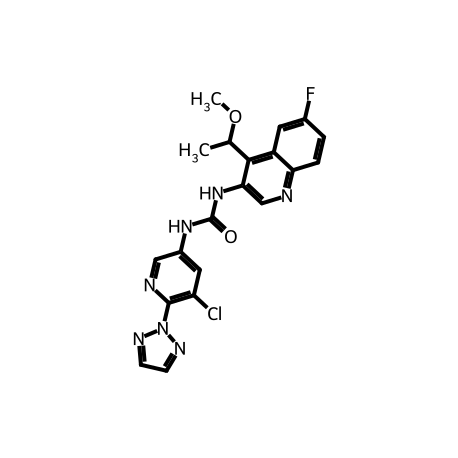 COC(C)c1c(NC(=O)Nc2cnc(-n3nccn3)c(Cl)c2)cnc2ccc(F)cc12